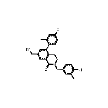 Cc1cc(CN2CCc3c(cc(CBr)cc3-c3ccc(F)cc3C)C2=O)ccc1Cl